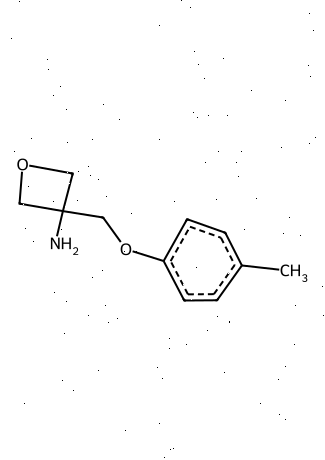 Cc1ccc(OCC2(N)COC2)cc1